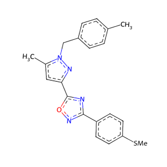 CSc1ccc(-c2noc(-c3cc(C)n(Cc4ccc(C)cc4)n3)n2)cc1